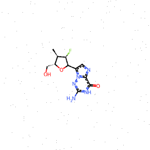 C[C@@H]1[C@@H](CO)OC(c2cnc3c(=O)[nH]c(N)nn23)[C@@H]1F